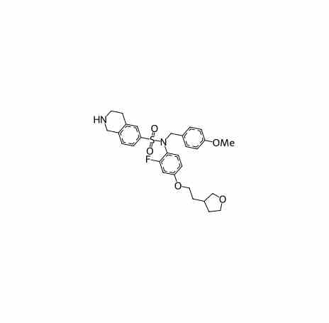 COc1ccc(CN(c2ccc(OCCC3CCOC3)cc2F)S(=O)(=O)c2ccc3c(c2)CCNC3)cc1